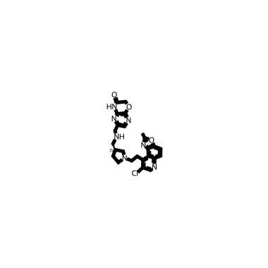 Cc1nc2c(ccc3ncc(Cl)c(CCN4CC[C@@H](CNCc5cnc6c(n5)NC(=O)CO6)C4)c32)o1